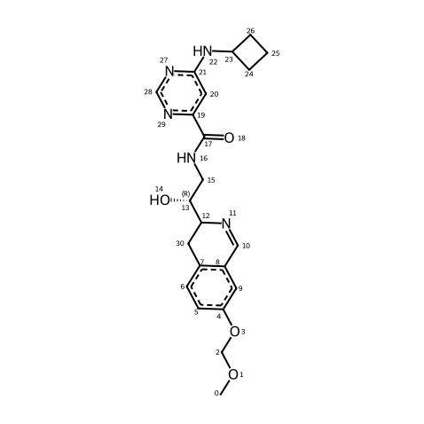 COCOc1ccc2c(c1)C=NC([C@H](O)CNC(=O)c1cc(NC3CCC3)ncn1)C2